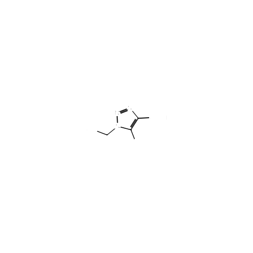 Cc1c(C(=O)O)nnn1CC(F)(F)F